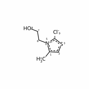 Cc1csc[n+]1CCO.[Cl-]